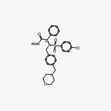 CNC(=O)[C@@H](c1ccccc1)N(Cc1ccc(CN2CCOCC2)cc1)S(=O)(=O)c1ccc(Cl)cc1